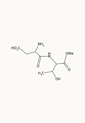 COC(=O)C(NC(=O)C(N)CC(=O)O)C(C)O